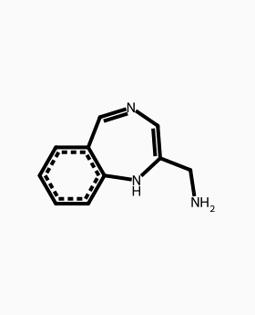 NCC1=CN=Cc2ccccc2N1